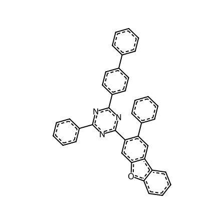 c1ccc(-c2ccc(-c3nc(-c4ccccc4)nc(-c4cc5oc6ccccc6c5cc4-c4ccccc4)n3)cc2)cc1